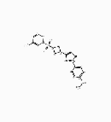 O=S(=O)(c1cccc(C(F)(F)F)c1)C1CC(c2c[nH]c(-c3ccc(OC(F)(F)F)cc3)n2)C1